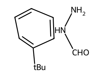 CC(C)(C)c1ccccc1.NNC=O